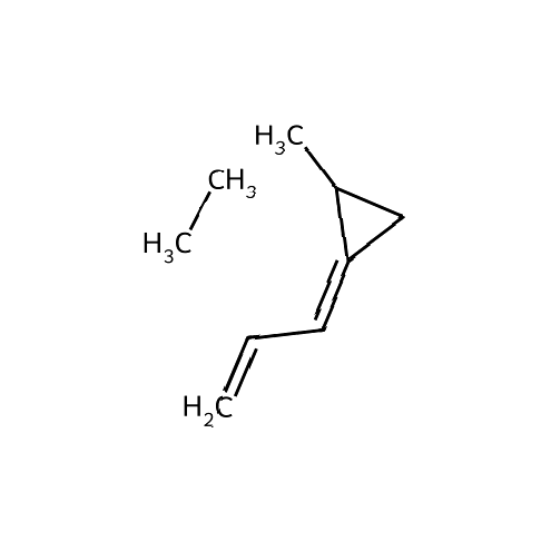 C=CC=C1CC1C.CC